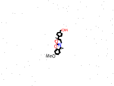 COc1ccc([C@H](C)N2CC[C@@](C)(c3ccc(CO)cc3)OC2=O)cc1